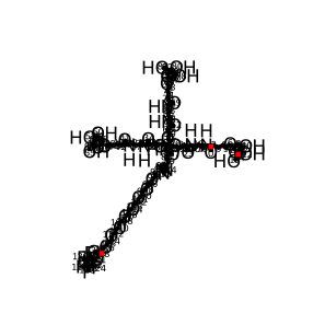 O=C(CCCCO[C@H]1C[C@@H](O)[C@@H](O)[C@@H](CO)O1)NCCCNC(=O)CCOCC(COCCC(=O)NCCCNC(=O)CCCCO[C@H]1C[C@@H](O)[C@@H](O)[C@@H](CO)O1)(COCCC(=O)NCCCNC(=O)CCCCO[C@H]1C[C@@H](O)[C@@H](O)[C@@H](CO)O1)NC(=O)CCc1cn(CCOCCOCCOCCOCCOCCOCCOCCOCCC(=O)Oc2c(F)c(F)c(F)c(F)c2F)nn1